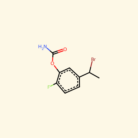 CC(Br)c1ccc(F)c(OC(N)=O)c1